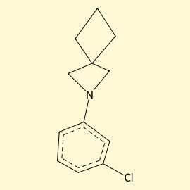 Clc1cccc(N2CC3(CCC3)C2)c1